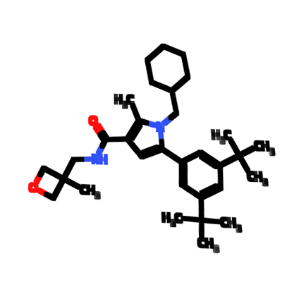 Cc1c(C(=O)NCC2(C)COC2)cc(-c2cc(C(C)(C)C)cc(C(C)(C)C)c2)n1CC1CCCCC1